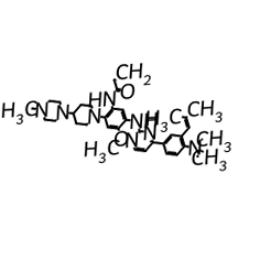 C=CC(=O)Nc1cc(Nc2nccc(-c3ccc(N(C)C)c(C=C(C)C)c3)n2)c(OC)cc1N1CCC(N2CCN(C)CC2)CC1